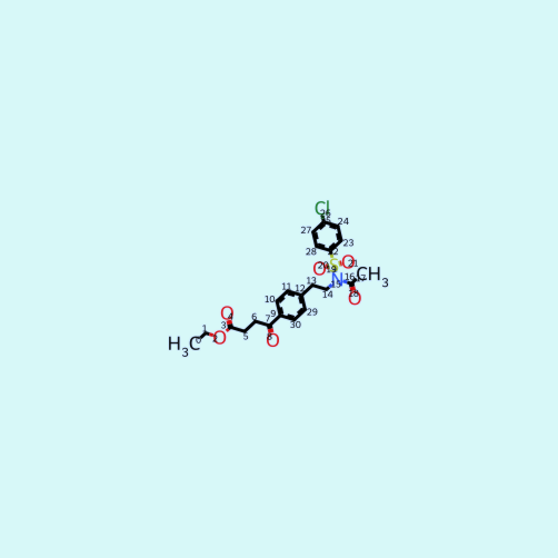 CCOC(=O)CCC(=O)c1ccc(CCN(C(C)=O)S(=O)(=O)c2ccc(Cl)cc2)cc1